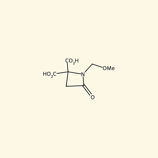 COCN1C(=O)CC1(C(=O)O)C(=O)O